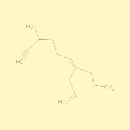 C#CC(C)CC/C=C(\CC=C)CSC